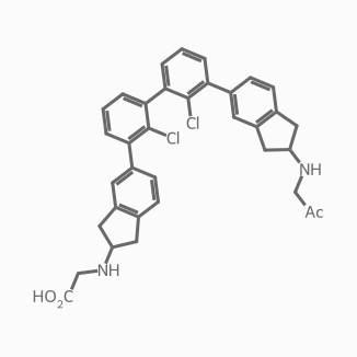 CC(=O)CNC1Cc2ccc(-c3cccc(-c4cccc(-c5ccc6c(c5)CC(NCC(=O)O)C6)c4Cl)c3Cl)cc2C1